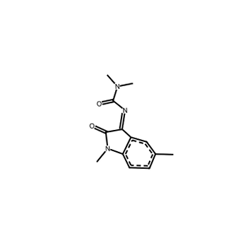 Cc1ccc2c(c1)/C(=N/C(=O)N(C)C)C(=O)N2C